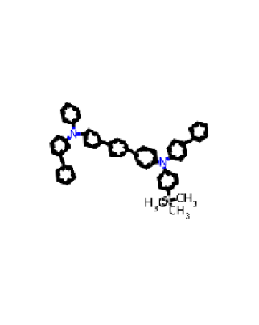 C[Si](C)(C)c1ccc(N(c2ccc(-c3ccccc3)cc2)c2ccc(-c3ccc(-c4ccc(N(c5ccccc5)c5cccc(-c6ccccc6)c5)cc4)cc3)cc2)cc1